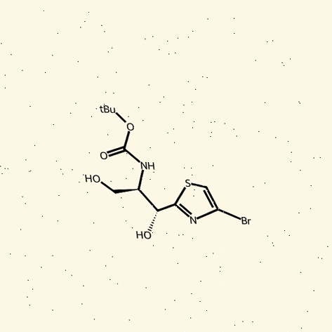 CC(C)(C)OC(=O)N[C@H](CO)[C@@H](O)c1nc(Br)cs1